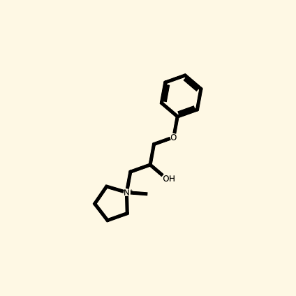 C[N+]1(CC(O)COc2ccccc2)CCCC1